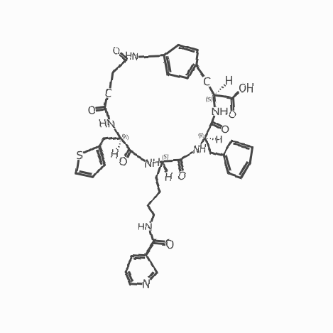 O=C1CCC(=O)N[C@H](Cc2cccs2)C(=O)N[C@@H](CCCCNC(=O)c2cccnc2)C(=O)N[C@H](Cc2ccccc2)C(=O)N[C@H](C(=O)O)Cc2ccc(cc2)N1